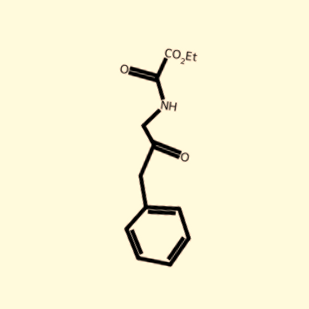 CCOC(=O)C(=O)NCC(=O)Cc1ccccc1